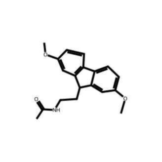 COc1ccc2c(c1)C(CCNC(C)=O)c1cc(OC)ccc1-2